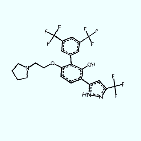 Oc1c(-c2cc(C(F)(F)F)n[nH]2)ccc(OCCN2CCCC2)c1-c1cc(C(F)(F)F)cc(C(F)(F)F)c1